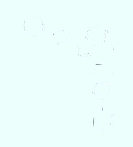 CN1CCN(C2CC(c3nc(C4=CC5N=C(c6ccccc6)SC5C=C4)c4c(N)nccn34)C2)CC1